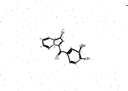 O=C(c1ccc(O)c(Br)c1)c1cc(Br)c2ccccn12